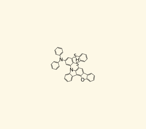 c1ccc(N(c2ccccc2)c2cc3c4c(c2)-n2c5ccccc5c5c6oc7ccccc7c6cc(c52)[SH]4c2ccccc2S3)cc1